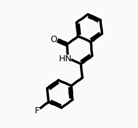 O=c1[nH]c(Cc2ccc(F)cc2)cc2ccccc12